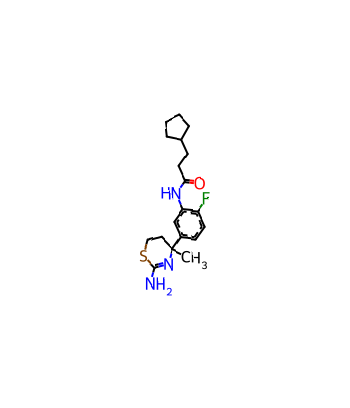 CC1(c2ccc(F)c(NC(=O)CCC3CCCC3)c2)CCSC(N)=N1